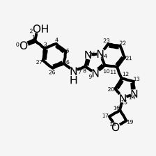 O=C(O)c1ccc(Nc2nc3c(-c4cnn(C5COC5)c4)cccn3n2)cc1